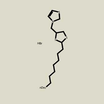 Br.CCCCCCCCCCCCCCCCCC1SCC(CN2C=CSC2)S1